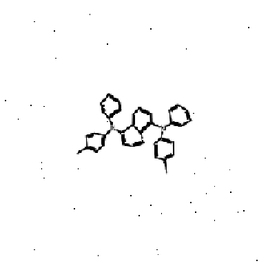 Cc1ccc(N(c2ccccc2)c2cccc3c(N(c4ccccc4)c4ccc(C)cc4)cccc23)cc1